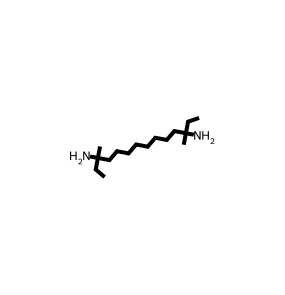 CCC(C)(N)CCCCCCCCC(C)(N)CC